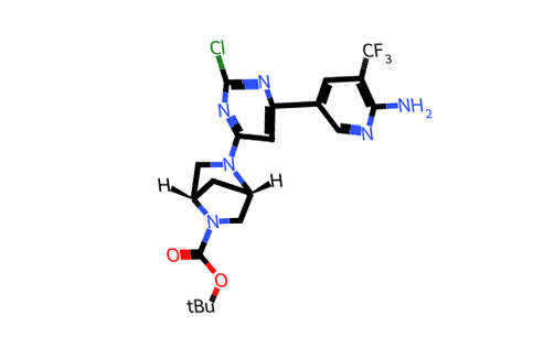 CC(C)(C)OC(=O)N1C[C@@H]2C[C@H]1CN2c1cc(-c2cnc(N)c(C(F)(F)F)c2)nc(Cl)n1